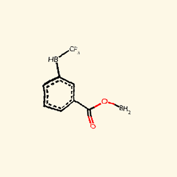 BOC(=O)c1cccc(BC(F)(F)F)c1